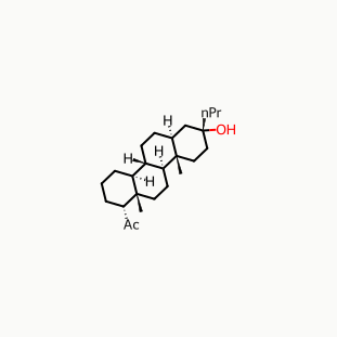 CCC[C@@]1(O)CC[C@@]2(C)[C@@H](CC[C@@H]3[C@@H]2CC[C@]2(C)[C@H](C(C)=O)CCC[C@@H]32)C1